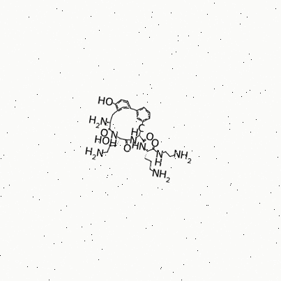 NCCC[C@H](NC(=O)[C@@H]1Cc2cccc(c2)-c2ccc(O)c(c2)C[C@H](N)C(=O)N[C@@H](C[C@@H](O)CN)C(=O)N1)C(=O)NCCN